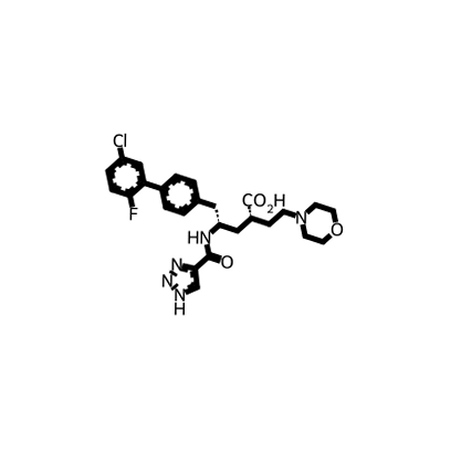 O=C(N[C@H](Cc1ccc(-c2cc(Cl)ccc2F)cc1)C[C@@H](CCN1CCOCC1)C(=O)O)c1c[nH]nn1